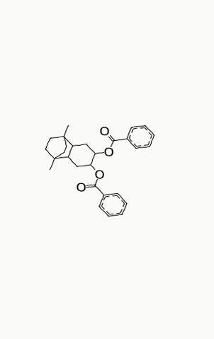 CC12CCC(C)(CC1)C1CC(OC(=O)c3ccccc3)C(OC(=O)c3ccccc3)CC12